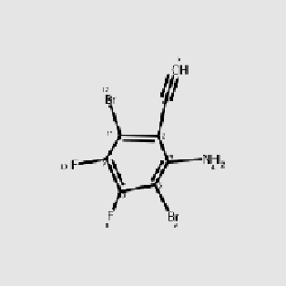 C#Cc1c(N)c(Br)c(F)c(F)c1Br